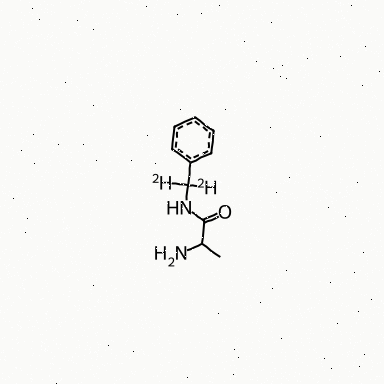 [2H]C([2H])(NC(=O)C(C)N)c1ccccc1